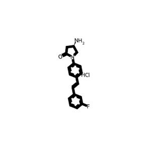 Cl.N[C@H]1CC(=O)N(c2ccc(/C=C/c3cccc(F)c3)cc2)C1